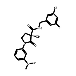 C[S+]([O-])c1cccc(N2CC[C@](O)(C(=O)NCc3cc(F)cc(Cl)c3)C2=O)c1